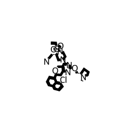 C=CS(=O)(=O)N1CCN(c2nc(OC[C@@H]3CCCN3C)nc3c2COC(c2cccc4cccc(Cl)c24)C3)C[C@@H]1CC#N